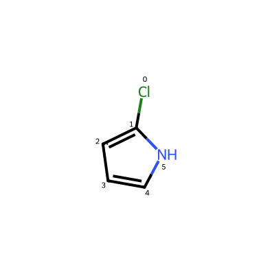 Clc1[c]cc[nH]1